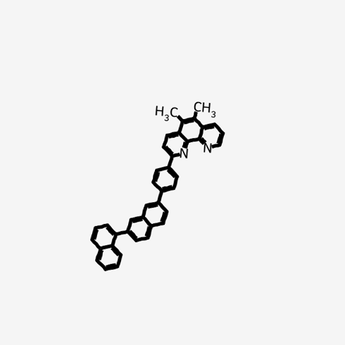 Cc1c(C)c2ccc(-c3ccc(-c4ccc5ccc(-c6cccc7ccccc67)cc5c4)cc3)nc2c2ncccc12